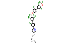 CCCCCc1ccc(-c2ccc(-c3cc(F)c(C(F)(F)Oc4ccc(-c5cc(F)c(OC(F)F)c(F)c5)c(F)c4)c(F)c3)c(F)c2)nc1